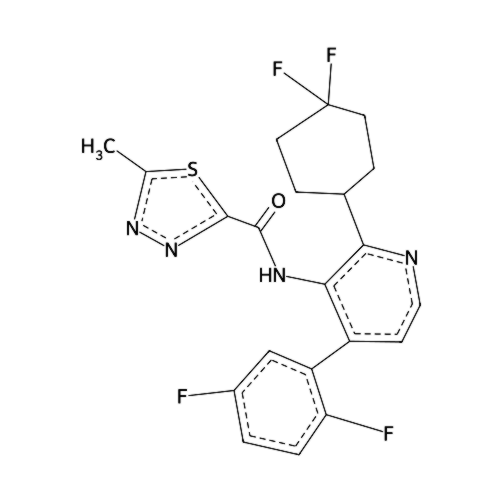 Cc1nnc(C(=O)Nc2c(-c3cc(F)ccc3F)ccnc2C2CCC(F)(F)CC2)s1